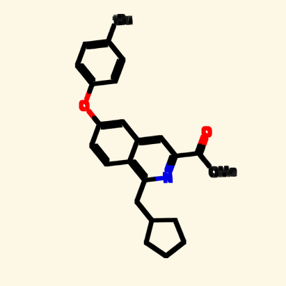 COC(=O)c1cc2cc(Oc3ccc(C(C)(C)C)cc3)ccc2c(CC2CCCC2)n1